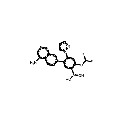 Nc1cnnc2cc(-c3cc(B(O)O)c(OC(F)F)cc3-n3cccn3)ccc12